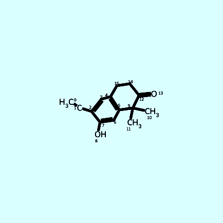 CCc1cc2c(cc1O)C(C)(C)C(=O)CC2